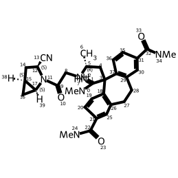 CNC(=N)C1(C[C@@H](C)NCC(=O)N2[C@H](C#N)C[C@@H]3C[C@@H]32)c2ccc(C(=O)NC)cc2CCc2cc(C(=O)NC)ccc21